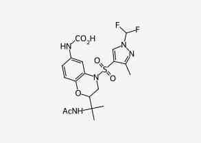 CC(=O)NC(C)(C)C1CN(S(=O)(=O)c2cn(C(F)F)nc2C)c2cc(NC(=O)O)ccc2O1